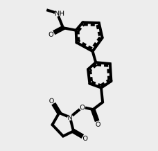 CNC(=O)c1cccc(-c2ccc(CC(=O)ON3C(=O)CCC3=O)cc2)c1